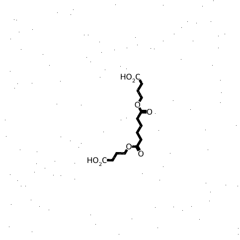 O=C(O)CCCOC(=O)CCCCC(=O)OCCCC(=O)O